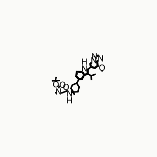 COc1cc(-c2[nH]c3ccc(C4CCC(C)(NC(=O)CN(C)C(=O)OC(C)(C)C)CC4)cc3c2C(C)C)cn2ncnc12